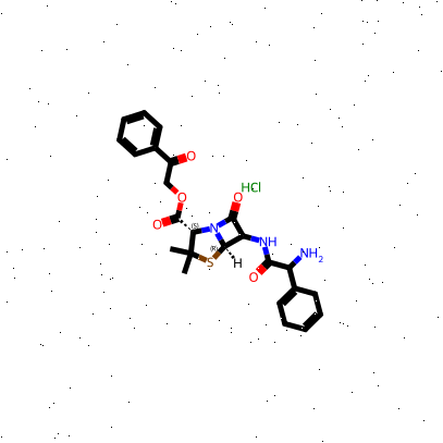 CC1(C)S[C@@H]2C(NC(=O)C(N)C3=CCC=CC3)C(=O)N2[C@H]1C(=O)OCC(=O)c1ccccc1.Cl